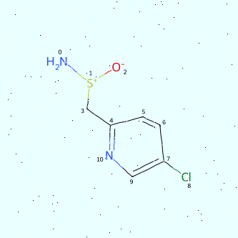 N[S+]([O-])Cc1ccc(Cl)cn1